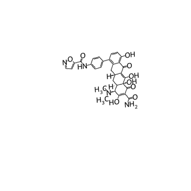 CN(C)[C@@H]1C(O)=C(C(N)=O)C(=O)[C@@]2(O)C(O)=C3C(=O)c4c(O)ccc(-c5ccc(NC(=O)c6ccno6)cc5)c4C[C@H]3C[C@H]12